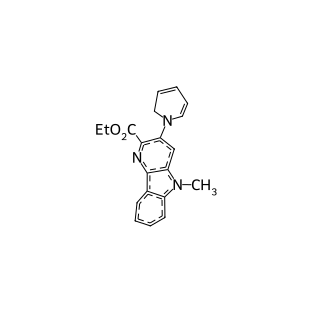 CCOC(=O)c1nc2c3ccccc3n(C)c2cc1N1C=CC=CC1